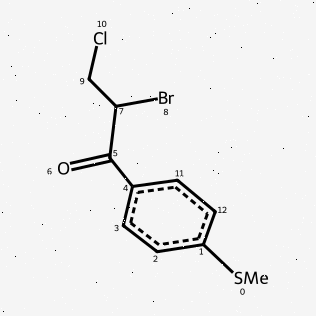 CSc1ccc(C(=O)C(Br)CCl)cc1